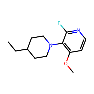 CCC1CCN(c2c(OC)ccnc2F)CC1